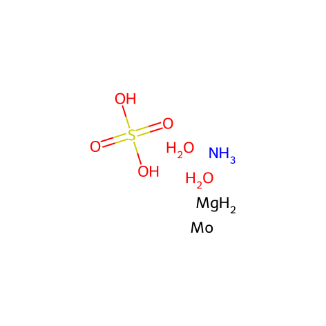 N.O.O.O=S(=O)(O)O.[MgH2].[Mo]